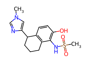 Cn1cnc(C2CCCc3c2ccc(O)c3NS(C)(=O)=O)c1